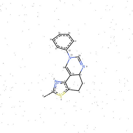 Cc1nc2c(s1)CCC1N=CN(c3ccccc3)C=C21